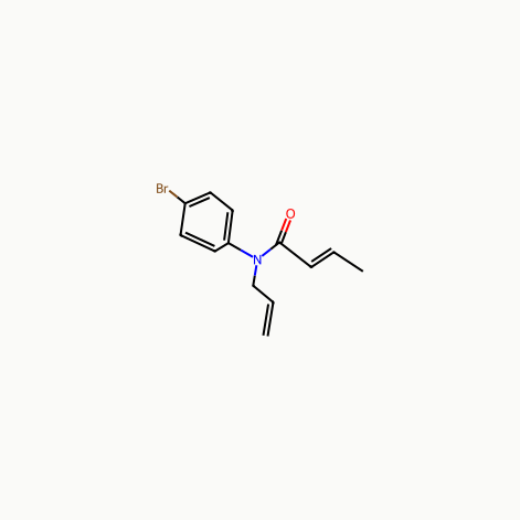 C=CCN(C(=O)/C=C/C)c1ccc(Br)cc1